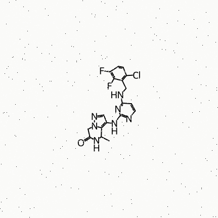 CC1NC(=O)Cn2ncc(Nc3nccc(NCc4c(Cl)ccc(F)c4F)n3)c21